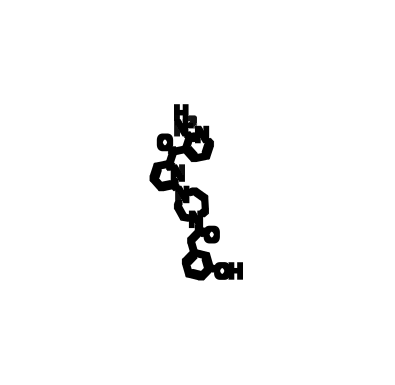 Nc1ncccc1C(=O)c1cccc(N2CCCN(C(=O)Cc3cccc(O)c3)CC2)n1